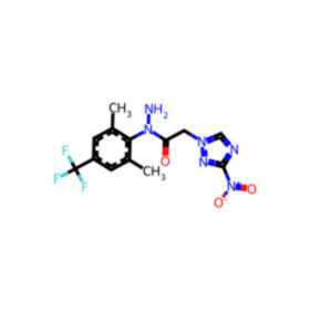 Cc1cc(C(F)(F)F)cc(C)c1N(N)C(=O)Cn1cnc([N+](=O)[O-])n1